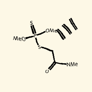 C=C.C=C.C=C.CNC(=O)CSP(=S)(OC)OC